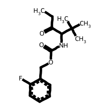 CCC(=O)C(NC(=O)OCc1ccccc1F)C(C)(C)C